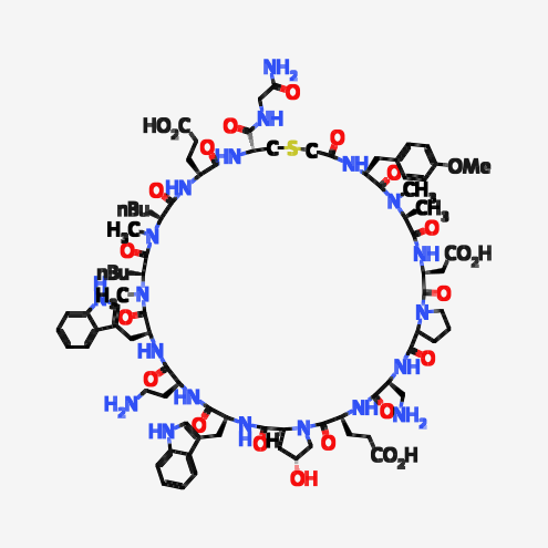 CCCC[C@H]1C(=O)N(C)[C@@H](CCCC)C(=O)N[C@@H](CCC(=O)O)C(=O)N[C@H](C(=O)NCC(N)=O)CSCC(=O)N[C@@H](Cc2ccc(OC)cc2)C(=O)N(C)[C@@H](C)C(=O)N[C@@H](CC(=O)O)C(=O)N2CCCC2C(=O)N[C@@H](CN)C(=O)N[C@@H](CCC(=O)O)C(=O)N2C[C@H](O)C[C@H]2C(=O)N[C@@H](Cc2c[nH]c3ccccc23)C(=O)N[C@@H](CCN)C(=O)N[C@@H](Cc2c[nH]c3ccccc23)C(=O)N1C